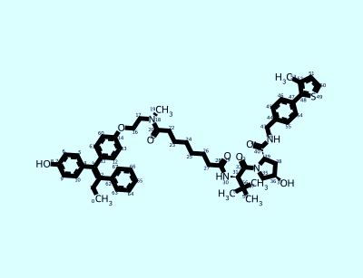 CC/C(=C(\c1ccc(O)cc1)c1ccc(OCCN(C)C(=O)CCCCCCC(=O)N[C@H](C(=O)N2C[C@H](O)C[C@H]2C(=O)NCc2ccc(-c3sccc3C)cc2)C(C)(C)C)cc1)c1ccccc1